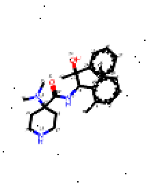 Cc1cccc(C)c1C(NC(=O)C1(N(C)C)CCNCC1)C(C)(O)c1ccccc1